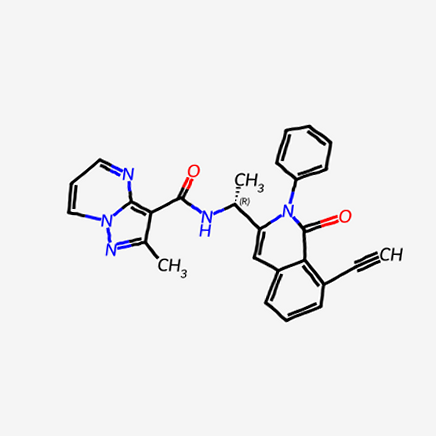 C#Cc1cccc2cc([C@@H](C)NC(=O)c3c(C)nn4cccnc34)n(-c3ccccc3)c(=O)c12